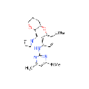 CNc1cc(C)nc(Nc2ccc(OC)c(O[C@@H]3CCCO[C@@H]3CN3CCC3)c2)n1